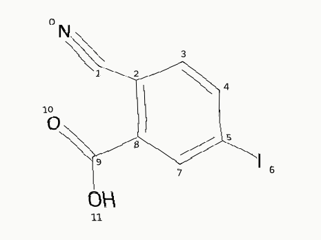 N#Cc1ccc(I)cc1C(=O)O